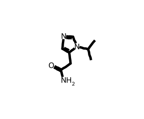 CC(C)n1cncc1CC(N)=O